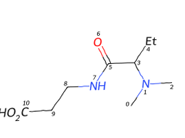 CN(C)C(C[13CH3])C(=O)NCCC(=O)O